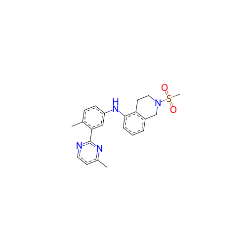 Cc1ccnc(-c2cc(Nc3cccc4c3CCN(S(C)(=O)=O)C4)ccc2C)n1